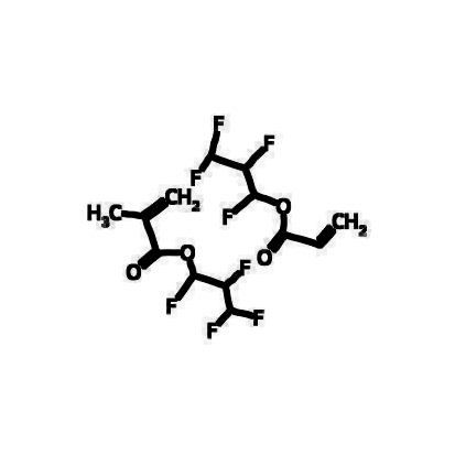 C=C(C)C(=O)OC(F)C(F)C(F)F.C=CC(=O)OC(F)C(F)C(F)F